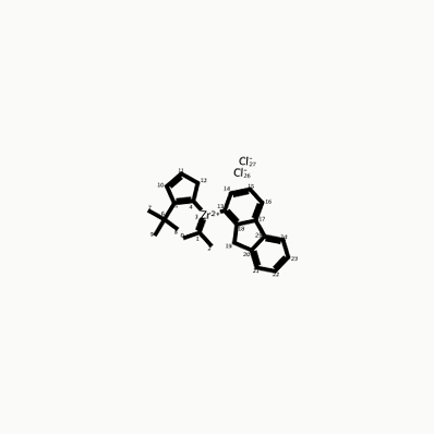 C[C](C)=[Zr+2]([C]1=C(C(C)(C)C)C=CC1)[c]1cccc2c1Cc1ccccc1-2.[Cl-].[Cl-]